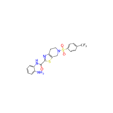 Nc1ccccc1NC(=O)c1nc2c(s1)CN(S(=O)(=O)c1ccc(C(F)(F)F)cc1)CC2